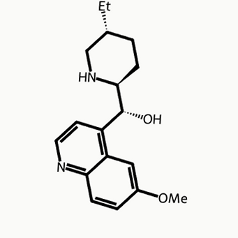 CC[C@@H]1CC[C@@H]([C@H](O)c2ccnc3ccc(OC)cc23)NC1